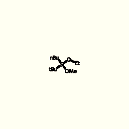 CCCC[Si](OC)(OCC)C(C)(C)C